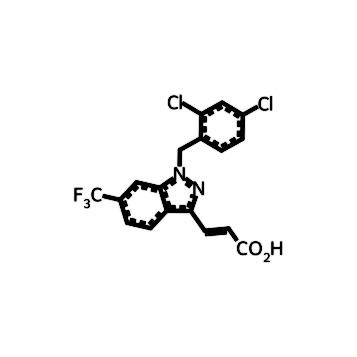 O=C(O)/C=C/c1nn(Cc2ccc(Cl)cc2Cl)c2cc(C(F)(F)F)ccc12